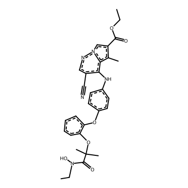 CCOC(=O)c1cn2ncc(C#N)c(Nc3ccc(Oc4ccccc4OC(C)(C)C(=O)N(O)CC)cc3)c2c1C